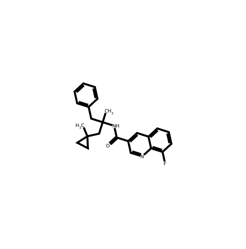 CC1(CC(C)(Cc2ccccc2)NC(=O)c2cnc3c(F)cccc3c2)CC1